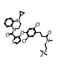 CN(CC[N+](C)(C)C)C(=O)CCc1cc(Cl)c(Oc2ccsc2C(=O)N2CCN(C3CC3)c3ccccc32)cc1Cl